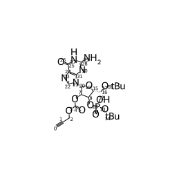 C#CCOC(=O)OC1C(OP(=O)(O)OC(C)(C)C)[C@@H](COC(C)(C)C)O[C@H]1n1cnc2c(=O)[nH]c(N)nc21